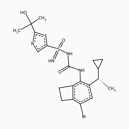 C[C@H](c1cc(Br)c2c(c1NC(=O)NS(=N)(=O)c1cnc(C(C)(C)O)s1)CC2)C1CC1